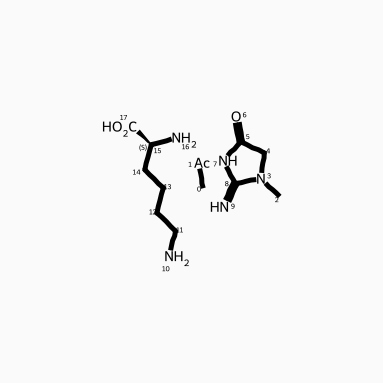 CC(C)=O.CN1CC(=O)NC1=N.NCCCC[C@H](N)C(=O)O